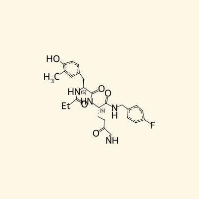 CCC(=O)N[C@@H](Cc1ccc(O)c(C)c1)C(=O)N[C@@H](CCC(=O)C=N)C(=O)NCc1ccc(F)cc1